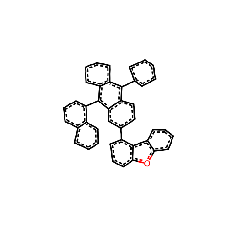 c1ccc(-c2c3ccccc3c(-c3cccc4ccccc34)c3cc(-c4cccc5oc6ccccc6c45)ccc23)cc1